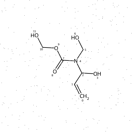 C=CC(O)N(CO)C(=O)OCO